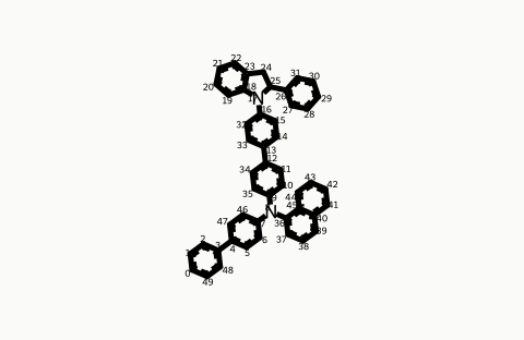 c1ccc(-c2ccc(N(c3ccc(-c4ccc(N5c6ccccc6CC5c5ccccc5)cc4)cc3)c3cccc4ccccc34)cc2)cc1